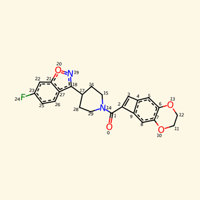 O=C(C1=Cc2cc3c(cc21)OCCO3)N1CCC(c2noc3cc(F)ccc23)CC1